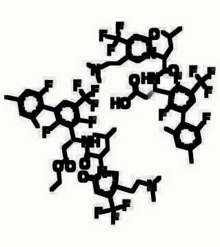 CCOC(=O)C[C@H](NC(=O)C(CC(C)C)n1cc(CCN(C)C)c(C(F)(F)F)cc1=O)c1c(F)c(-c2c(C)cc(C)cc2F)cc(C(F)(F)F)c1F.Cc1cc(C)c(-c2cc(C(F)(F)F)c(F)c([C@H](CC(=O)O)NC(=O)C(CC(C)C)n3cc(CCN(C)C)c(C(F)(F)F)cc3=O)c2F)c(F)c1